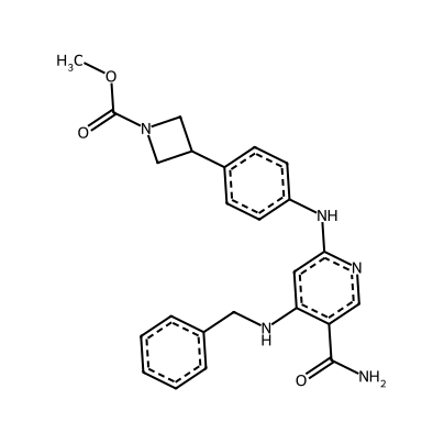 COC(=O)N1CC(c2ccc(Nc3cc(NCc4ccccc4)c(C(N)=O)cn3)cc2)C1